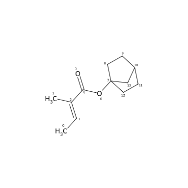 CC=C(C)C(=O)OC12CCC(CC1)C2